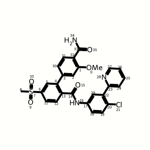 COc1cc(-c2cc(S(C)(=O)=O)ccc2C(=O)Nc2ccc(Cl)c(-c3ccccn3)c2)ccc1C(N)=O